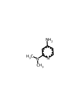 CN(C)c1cc(N)ccn1